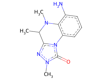 CC1c2nn(C)c(=O)n2-c2cccc(N)c2N1C